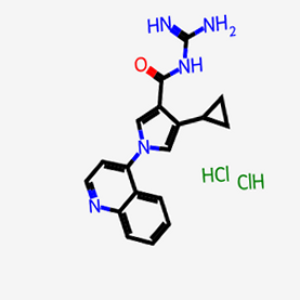 Cl.Cl.N=C(N)NC(=O)c1cn(-c2ccnc3ccccc23)cc1C1CC1